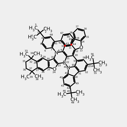 CC(C)(C)c1ccc(N2c3cc4c(oc5ccccc54)c4c3B(c3oc5cc6c(cc5c32)C(C)(C)CCC6(C)C)n2c3ccc(C(C)(C)C)cc3c3cc(C(C)(C)C)cc-4c32)c(-c2ccccc2)c1